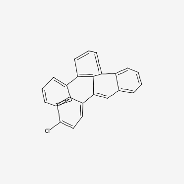 Clc1ccc(-c2cc3ccccc3c3cccc(-c4ccccc4)c23)cc1